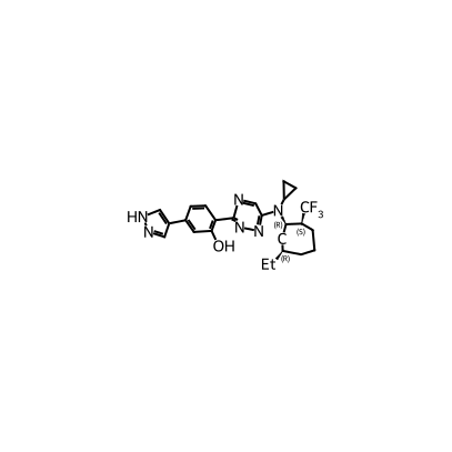 CC[C@@H]1CCC[C@H](C(F)(F)F)[C@H](N(c2cnc(-c3ccc(-c4cn[nH]c4)cc3O)nn2)C2CC2)C1